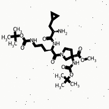 COC(=O)C1(NC(=O)OC(C)(C)C)CCN(C(=O)[C@@H](CCCNC(=O)OC(C)(C)C)NC(=O)[C@H](N)CC2CC2)C1